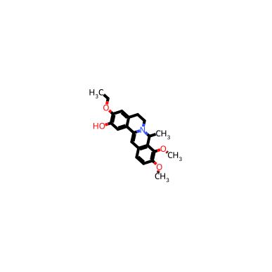 CCOc1cc2c(cc1O)C1=Cc3ccc(OC)c(OC)c3C(C)N1CC2